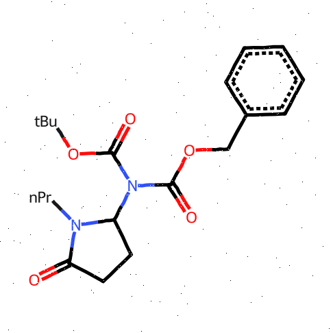 CCCN1C(=O)CCC1N(C(=O)OCc1ccccc1)C(=O)OC(C)(C)C